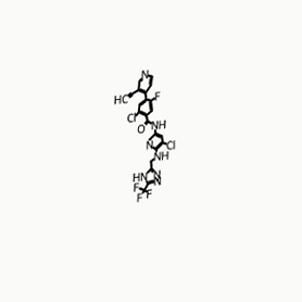 C#Cc1cnccc1-c1cc(Cl)c(C(=O)Nc2cnc(NCc3nnc(C(F)(F)F)[nH]3)c(Cl)c2)cc1F